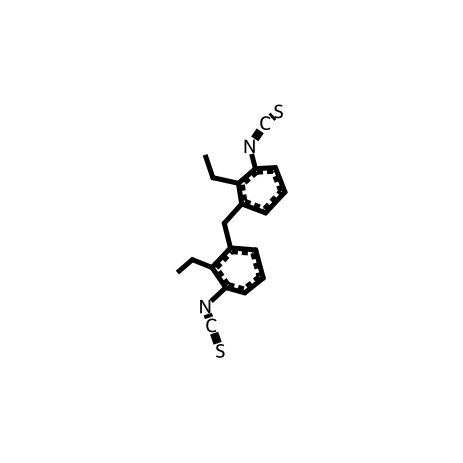 CCc1c(Cc2cccc(N=C=S)c2CC)cccc1N=C=S